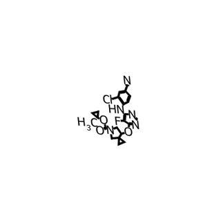 CC1(OC(=O)N2CC(Oc3ncnc(Nc4ccc(C#N)cc4Cl)c3F)C3(CC3)C2)CC1